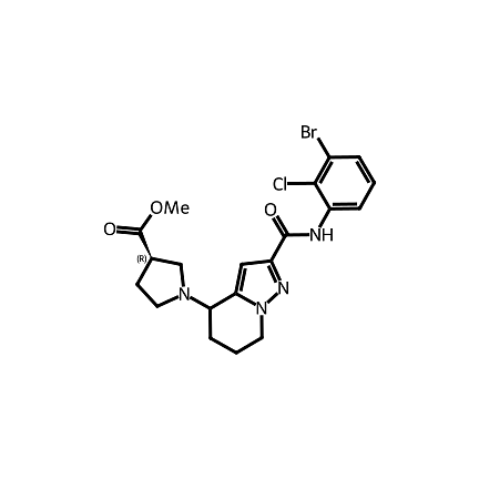 COC(=O)[C@@H]1CCN(C2CCCn3nc(C(=O)Nc4cccc(Br)c4Cl)cc32)C1